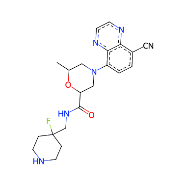 CC1CN(c2ccc(C#N)c3nccnc23)CC(C(=O)NCC2(F)CCNCC2)O1